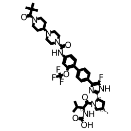 CC(C)[C@H](NC(=O)O)C(=O)N1C[C@@H](C)C[C@H]1c1nc(-c2ccc(-c3ccc(NC(=O)N4CCN(C5CCN(C(=O)C(C)(C)C)CC5)CC4)cc3OC(F)(F)F)cc2)c(F)[nH]1